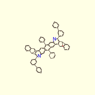 C1=CCCC(c2c3cc4c5c(c(-c6cccc(-c7ccccc7)c6)nc4cc3c(-c3ccccc3)c3cc4c6c(c(-c7cccc(-c8ccccc8)c7)nc4cc23)C2CC6c3ccccc32)C2CC5c3ccccc32)=C1